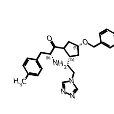 Cc1ccc(C[C@@H](N)C(=O)C2C[C@H](OCc3ccccc3)C[C@@H]2CCn2cnnc2)cc1